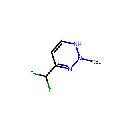 CC(C)(C)N1N=C(C(F)F)C=[C]N1